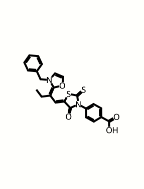 CCC(C=C1SC(=S)N(c2ccc(C(=O)O)cc2)C1=O)=C1OC=CN1Cc1ccccc1